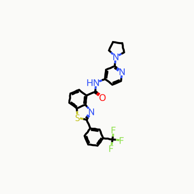 O=C(Nc1ccnc(N2CCCC2)c1)c1cccc2sc(-c3cccc(C(F)(F)F)c3)nc12